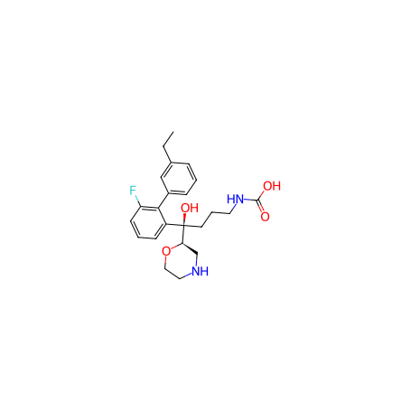 CCc1cccc(-c2c(F)cccc2[C@](O)(CCCNC(=O)O)[C@H]2CNCCO2)c1